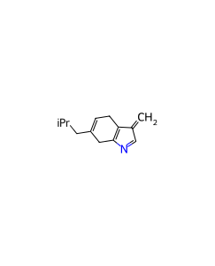 C=C1C=NC2=C1CC=C(CC(C)C)C2